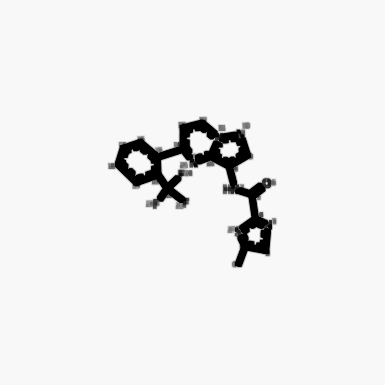 Cc1cnc(C(=O)Nc2cnn3ccc(-c4ccccc4C(F)(F)F)nc23)s1